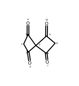 O=C1CC(=O)C12C(=O)CC2=O